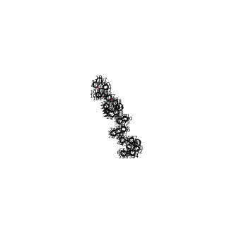 C1=CC2C=CC=C(c3c4ccccc4c(-c4cccc(-c5ccc6sc7ccc8c(-c9ccc(-c%10cccc%11c(-c%12cccc(-c%13ccc%14oc%15ccc%16ccc%17c%18ccccc%18sc%17c%16c%15c%14c%13)c%12)c%12ccccc%12cc%10%11)c%10ccccc9%10)cc9oc%10ccccc%10c9c8c7c6c5)c4)c4ccccc34)C2C=C1